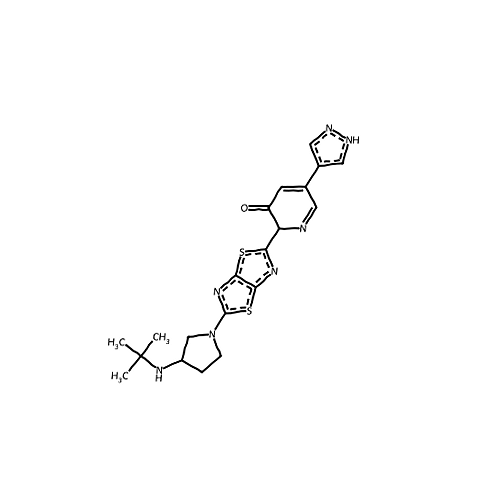 CC(C)(C)NC1CCN(c2nc3sc(C4N=CC(c5cn[nH]c5)=CC4=O)nc3s2)C1